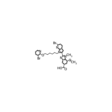 COc1cc(C(=O)O)cc2nc(-c3cc4ccc(Br)nc4n3CCCCCCOc3ncccc3Br)n(C)c12